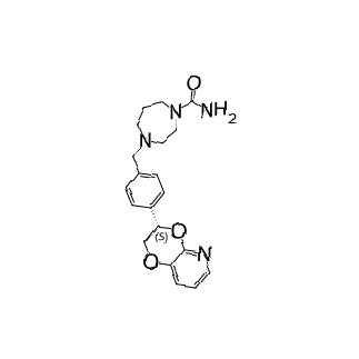 NC(=O)N1CCCN(Cc2ccc([C@H]3COc4cccnc4O3)cc2)CC1